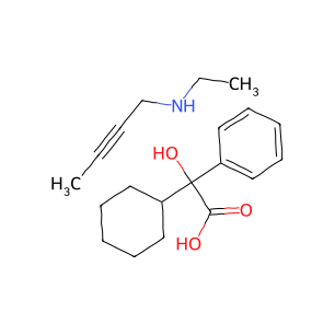 CC#CCNCC.O=C(O)C(O)(c1ccccc1)C1CCCCC1